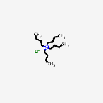 CCCC[N+](CCCC)(CCCC)CCC[SiH3].[Br-]